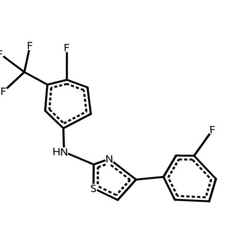 Fc1cccc(-c2csc(Nc3ccc(F)c(C(F)(F)F)c3)n2)c1